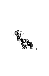 CN(C)C(=O)CC1CN=C(c2cc3cc(Oc4ccc(S(C)(=O)=O)nc4)cc(OC4CCOCC4)c3[nH]2)S1